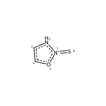 S=[n+]1[nH]cco1